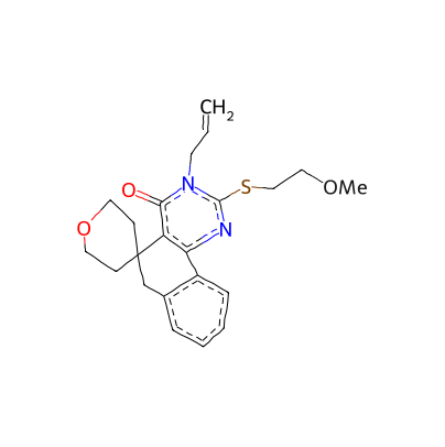 C=CCn1c(SCCOC)nc2c(c1=O)C1(CCOCC1)Cc1ccccc1-2